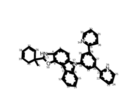 CC1(C2Nc3ccc4c(c3O2)c2ccccc2n4-c2cc(-c3ccccn3)cc(-c3ccccn3)c2)C=CC=CC1